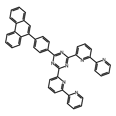 c1ccc(-c2cccc(-c3nc(-c4ccc(-c5cc6ccccc6c6ccccc56)cc4)nc(-c4cccc(-c5ccccn5)n4)n3)n2)nc1